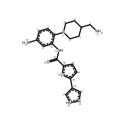 NCC1CCN(c2ccc(N)cc2NC(=O)c2ccc(-c3cn[nH]c3)o2)CC1